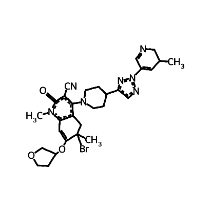 CC1C=C(n2ncc(C3CCN(c4c5c(n(C)c(=O)c4C#N)C=C(OC4CCOC4)C(C)(Br)C5)CC3)n2)C=NC1